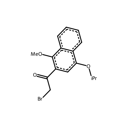 COc1c(C(=O)CBr)cc(OC(C)C)c2ccccc12